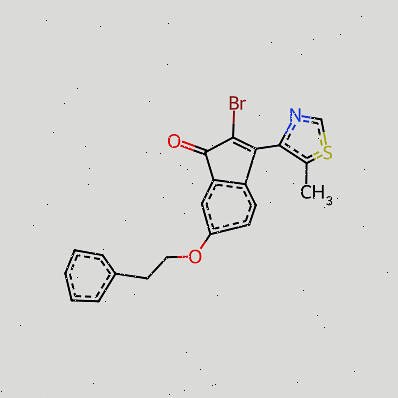 Cc1scnc1C1=C(Br)C(=O)c2cc(OCCc3ccccc3)ccc21